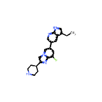 CCc1c[nH]c2ncc(-c3cc(F)c4nc(C5CCNCC5)cn4c3)cc12